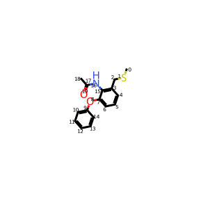 CSCc1cccc(Oc2ccccc2)c1NC(C)=O